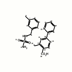 Cc1cccc(CNS(N)(=O)=O)c1.Cc1nc(-c2ccccn2)ncc1C(=O)O